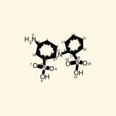 Nc1cccc(S(=O)(=O)O)c1.Nc1ccccc1S(=O)(=O)O